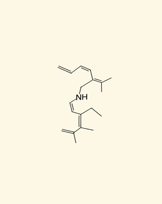 C=C/C=C\C(CN/C=C\C(CC)=C(\C)C(=C)C)=C(C)C